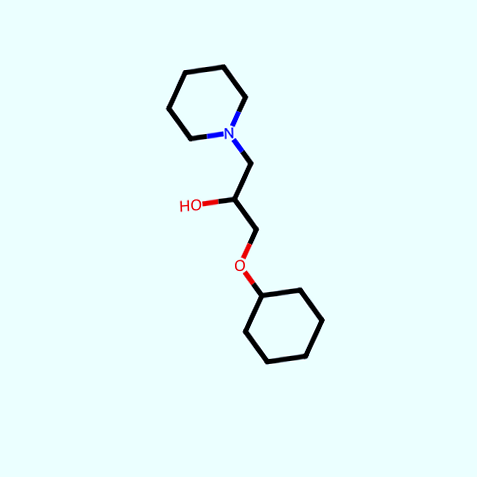 OC(COC1CCCCC1)CN1CCCCC1